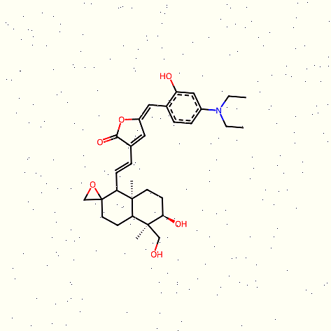 CCN(CC)c1ccc(/C=C2C=C(/C=C/C3C4(CCC5[C@]3(C)CC[C@@H](O)[C@@]5(C)CO)CO4)C(=O)O\2)c(O)c1